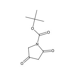 CC(C)(C)OC(=O)N1CC(=O)CC1=O